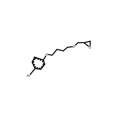 CC(=O)c1ccc(OCCCCOCC2CO2)cc1